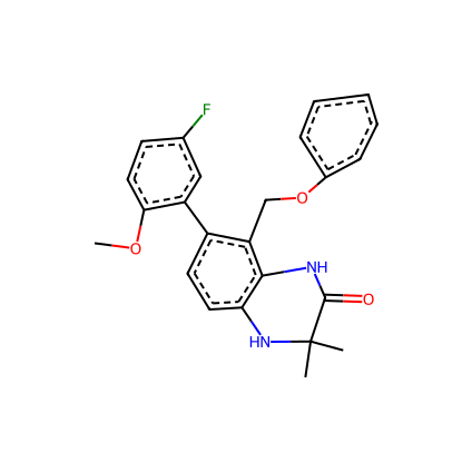 COc1ccc(F)cc1-c1ccc2c(c1COc1ccccc1)NC(=O)C(C)(C)N2